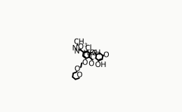 Cc1nnc(-c2cc(OCCOC3CCCCO3)c(C(=O)[C@H]3C(O)=CC(=O)CC3C)c(O)c2Cl)o1